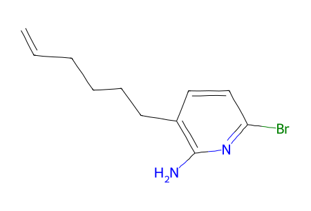 C=CCCCCc1ccc(Br)nc1N